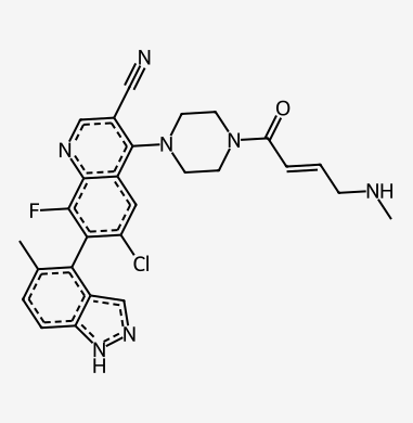 CNC/C=C/C(=O)N1CCN(c2c(C#N)cnc3c(F)c(-c4c(C)ccc5[nH]ncc45)c(Cl)cc23)CC1